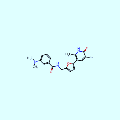 CCc1cc(-c2ccc(CNC(=O)c3cccc(N(C)C)c3)o2)c(C)[nH]c1=O